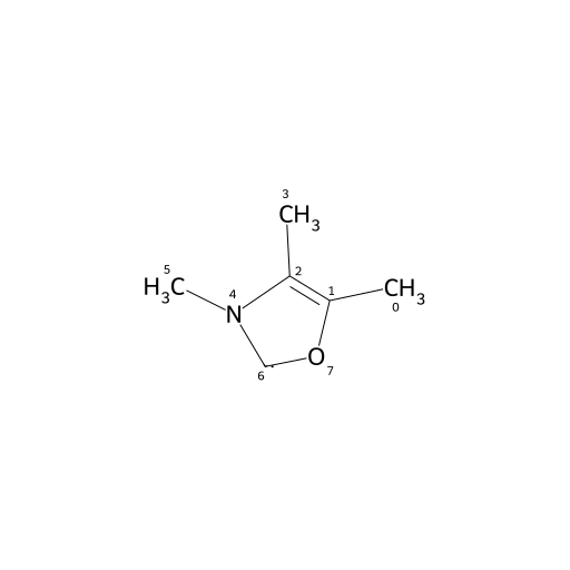 CC1=C(C)N(C)[CH]O1